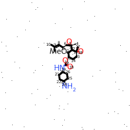 COC1C([C@@]2(C)O[C@@H]2CC=C(C)C)[C@]2(CC[C@@H]1OC(=O)N[C@H]1CC[C@H](N)CC1)CO2